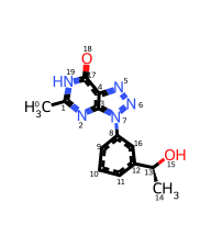 Cc1nc2c(nnn2-c2cccc([C@H](C)O)c2)c(=O)[nH]1